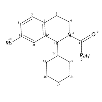 O=[C]([RaH])N1CCc2cc[c]([Rb])cc2C1C1CCCCC1